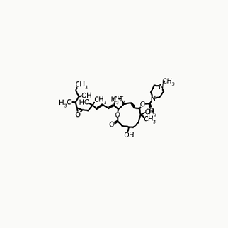 CCC(O)C(C)C1OC1CC(C)(O)/C=C/C=C(\C)C1OC(=O)CC(O)CCC(C)(C)C(OC(=O)N2CCN(C)CC2)/C=C/C1C